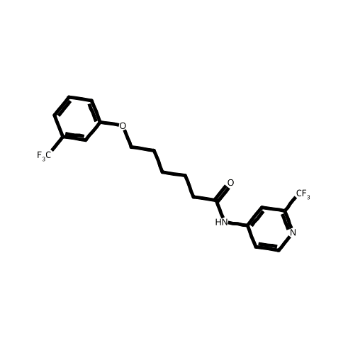 O=C(CCCCCOc1cccc(C(F)(F)F)c1)Nc1ccnc(C(F)(F)F)c1